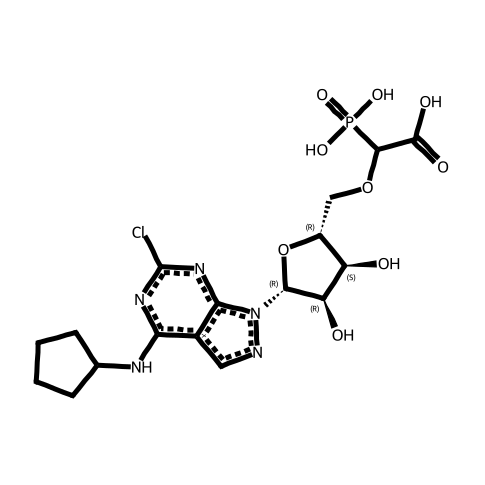 O=C(O)C(OC[C@H]1O[C@@H](n2ncc3c(NC4CCCC4)nc(Cl)nc32)[C@H](O)[C@@H]1O)P(=O)(O)O